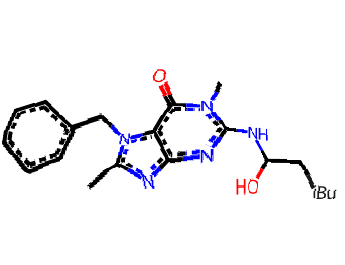 CCC(C)CC(O)Nc1nc2nc(C)n(Cc3ccccc3)c2c(=O)n1C